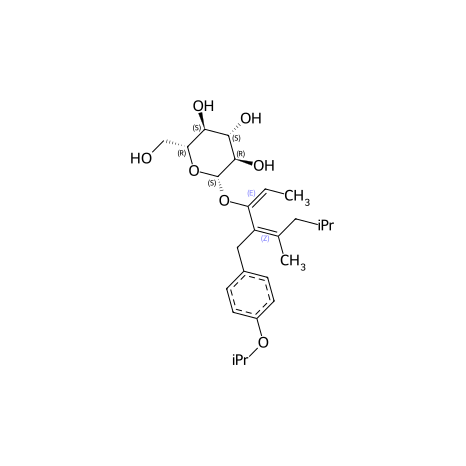 C/C=C(O[C@@H]1O[C@H](CO)[C@@H](O)[C@H](O)[C@H]1O)\C(Cc1ccc(OC(C)C)cc1)=C(\C)CC(C)C